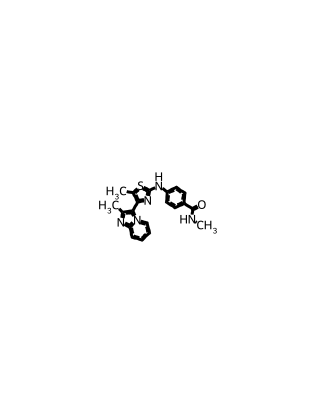 CNC(=O)c1ccc(Nc2nc(-c3c(C)nc4ccccn34)c(C)s2)cc1